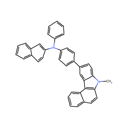 Cn1c2ccc(-c3ccc(N(c4ccccc4)c4ccc5ccccc5c4)cc3)cc2c2c3ccccc3ccc21